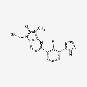 Cn1c(=O)n(CC(C)(C)C)c2ccc(-c3cccc(-c4ccn[nH]4)c3F)nc21